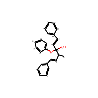 CC(C=Cc1ccccc1)C(O)(C=Cc1ccccc1)Oc1ccccc1